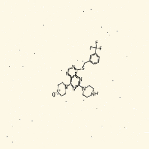 [O-][S+]1CCN(c2nc(N3CCNCC3)nc3c(SCc4cccc(C(F)(F)F)c4)ncnc23)CC1